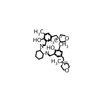 Cc1cc(C[N+]2(C)CCOCC2)cc(/C=N/[C@@H]2CCCC[C@H]2/N=C/c2cc(C[N+]3(C)CCOCC3)cc(C)c2O)c1O